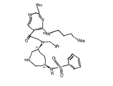 CSCCCNc1nc(C(C)(C)C)ncc1C(=O)N(CC(C)C)[C@@H]1CNC[C@H](NS(=O)(=O)c2ccccc2)C1